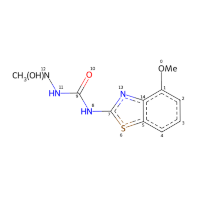 COc1cccc2sc(NC(=O)NN(C)O)nc12